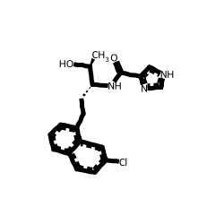 C[C@H](O)[C@@H](CCc1cccc2ccc(Cl)cc12)NC(=O)c1c[nH]cn1